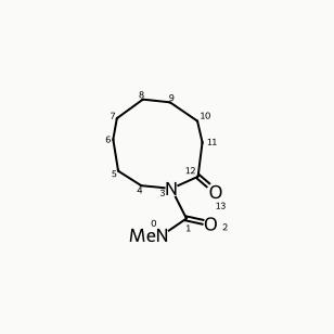 CNC(=O)N1CCCCCCCCC1=O